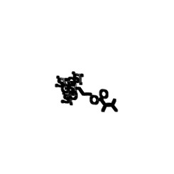 CC(C)=C(C)C(=O)OCCC[Si](O[Si](C)(C)C)(O[Si](C)(C)C)O[Si](C)(C)C